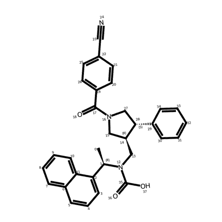 C[C@H](c1cccc2ccccc12)N(C[C@H]1CN(C(=O)c2ccc(C#N)cc2)C[C@@H]1c1ccccc1)C(=O)O